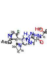 C=C(/C=C\n1ncc(C(=O)NCC(O)CC)c1N)N1CCC[C@@H]1c1cc(F)cnc1OC